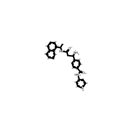 CC(NC(=O)CC(N)c1ccc(C(=O)Nc2ccncc2)cc1)c1cccc2ccccc12